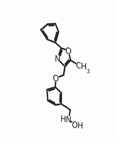 Cc1oc(-c2ccccc2)nc1COc1cccc(CNO)c1